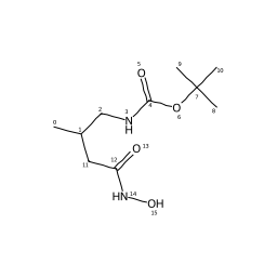 CC(CNC(=O)OC(C)(C)C)CC(=O)NO